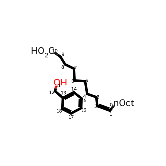 CCCCCCCC/C=C\CCCCCCCC(=O)O.OCc1ccccc1